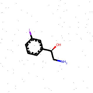 NC[C@H](O)c1cccc(I)c1